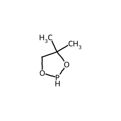 CC1(C)COPO1